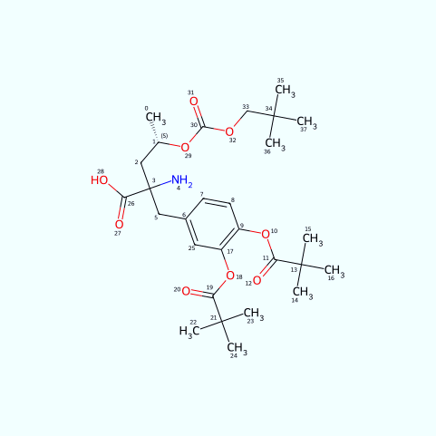 C[C@@H](CC(N)(Cc1ccc(OC(=O)C(C)(C)C)c(OC(=O)C(C)(C)C)c1)C(=O)O)OC(=O)OCC(C)(C)C